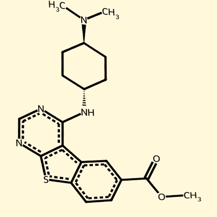 COC(=O)c1ccc2sc3ncnc(N[C@H]4CC[C@H](N(C)C)CC4)c3c2c1